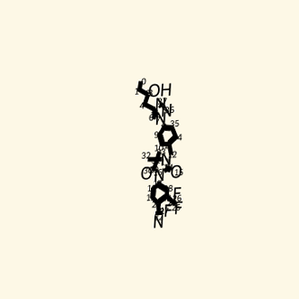 CCC(O)Cc1cn(-c2ccc(CN3C(=O)N(c4ccc(C#N)c(C(F)(F)F)c4)C(=O)C3(C)C)cc2)nn1